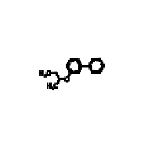 CCC(C)Oc1cccc(-c2ccccc2)c1